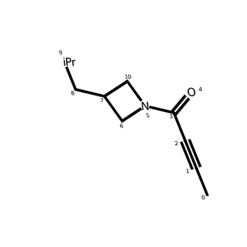 CC#CC(=O)N1CC(CC(C)C)C1